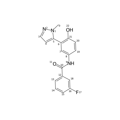 Cn1nccc1-c1cc(NC(=O)c2cccc(F)c2)ccc1O